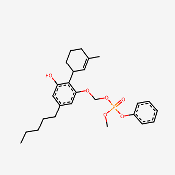 CCCCCc1cc(O)c(C2C=C(C)CCC2)c(OCOP(=O)(OC)Oc2ccccc2)c1